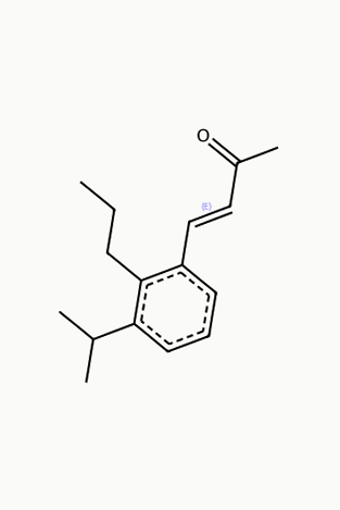 CCCc1c(/C=C/C(C)=O)cccc1C(C)C